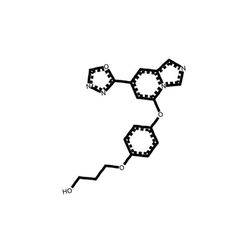 OCCCOc1ccc(Oc2cc(-c3nnco3)cc3cncn23)cc1